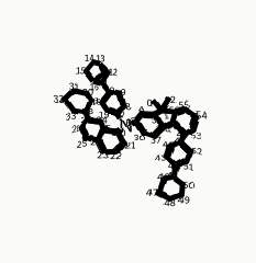 CC1(C)c2cc(N(c3ccc(C4CC5CCC4C5)cc3)c3cccc4ccc(C5CCCCC5)cc34)ccc2-c2c(-c3ccc(C4CCCCC4)cc3)cccc21